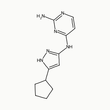 Nc1nccc(Nc2cc(C3CCCC3)[nH]n2)n1